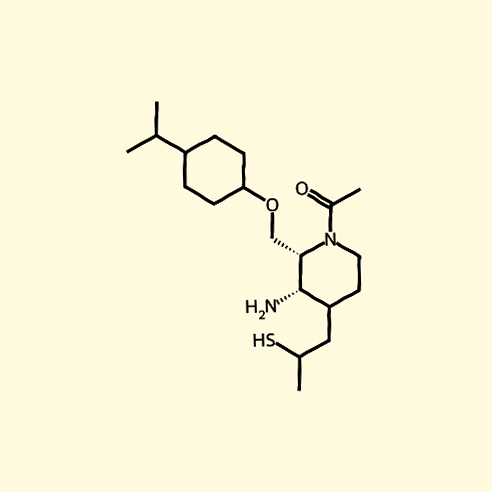 CC(=O)N1CCC(CC(C)S)[C@H](N)[C@@H]1COC1CCC(C(C)C)CC1